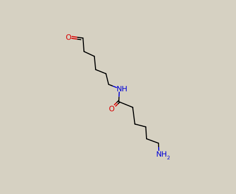 NCCCCCC(=O)NCCCCCC=O